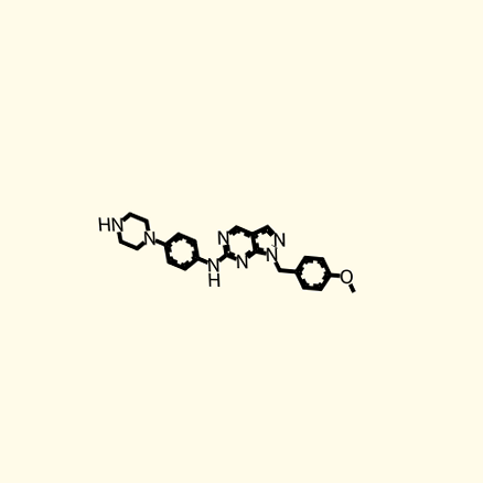 COc1ccc(Cn2ncc3cnc(Nc4ccc(N5CCNCC5)cc4)nc32)cc1